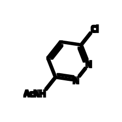 [CH2]C(=O)Nc1ccc(Cl)nn1